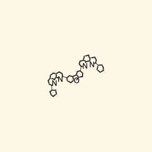 c1ccc(-c2ccc3ccc4ccc(-c5ccc6oc7ccc(-c8ccc9ccc%10ccc(-c%11ccccc%11)nc%10c9n8)cc7c6c5)nc4c3n2)cc1